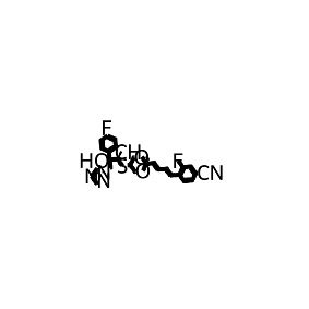 C[C@@H](SC1COC(C=CC=Cc2ccc(C#N)cc2F)OC1)[C@](O)(Cn1cncn1)c1ccc(F)cc1